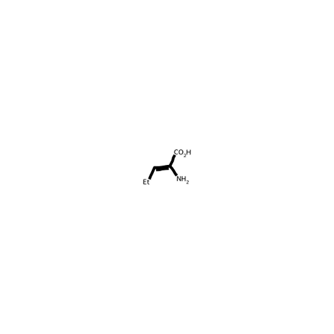 CCC=C(N)C(=O)O